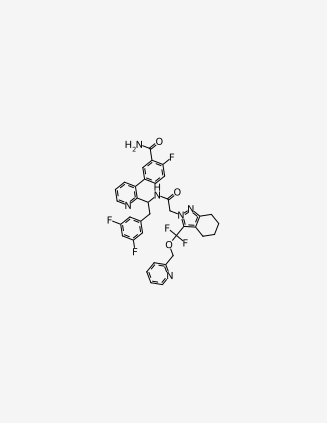 NC(=O)c1cc(-c2cccnc2C(Cc2cc(F)cc(F)c2)NC(=O)Cn2nc3c(c2C(F)(F)OCc2ccccn2)CCCC3)ccc1F